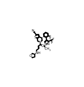 CCn1cc(-c2c(F)cccc2[C@@H]2CN(C(=O)/C=C/CN[C@H]3CCOC3)Cc3sc(C#N)cc32)c(C(F)(F)F)n1